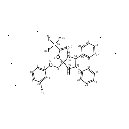 O=C(OC1(COc2cccc(F)c2)NC(c2ccccc2)C(c2ccccc2)N1)C(F)(F)F